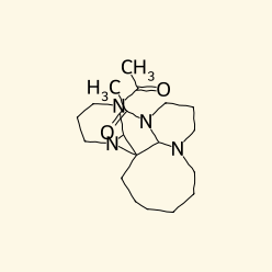 CC(=O)N1CCCN2CCCCCCC3(C21)C1N(C(C)=O)CCCN13